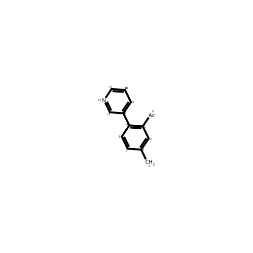 CC(=O)c1cc(C)ccc1-c1cccnc1